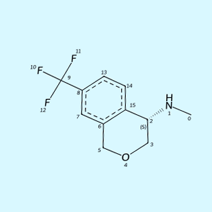 CN[C@@H]1COCc2cc(C(F)(F)F)ccc21